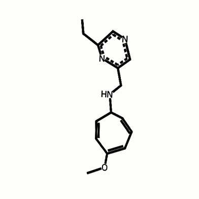 CCc1cncc(CNC2C=CC=C(OC)C=C2)n1